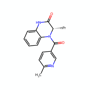 CCC[C@H]1C(=O)Nc2ccccc2N1C(=O)c1ccc(C)nc1